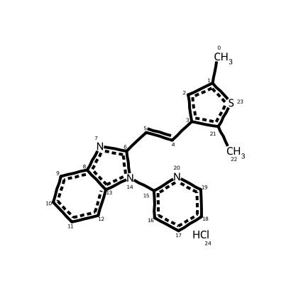 Cc1cc(C=Cc2nc3ccccc3n2-c2ccccn2)c(C)s1.Cl